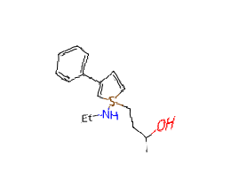 CCNS1(CCC(C)O)C=CC(c2ccccc2)=C1